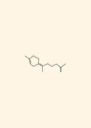 C=C(C)CCCC(C)=C1CC=C(C)CC1